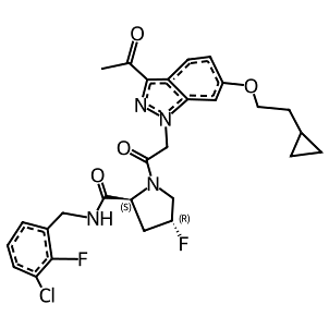 CC(=O)c1nn(CC(=O)N2C[C@H](F)C[C@H]2C(=O)NCc2cccc(Cl)c2F)c2cc(OCCC3CC3)ccc12